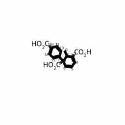 CC1C(C(=O)O)=CC=CC1(C(=O)O)c1ccc(C(=O)O)cc1